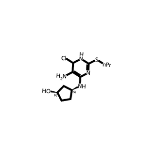 CCCSC1=NC(N[C@H]2CC[C@@H](O)C2)=C(N)C(Cl)N1